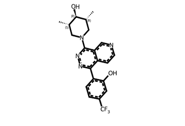 C[C@@H]1CN(c2nnc(-c3ccc(C(F)(F)F)cc3O)c3ccncc23)C[C@H](C)[C@H]1O